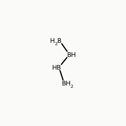 BBBB